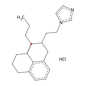 CCCCC12CCCc3cccc(c31)CC(CCn1ccnc1)C2.Cl